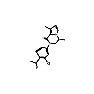 C[C@H]1CN(c2ccc(C(F)F)c(Cl)c2)C(=O)c2c(I)cnn21